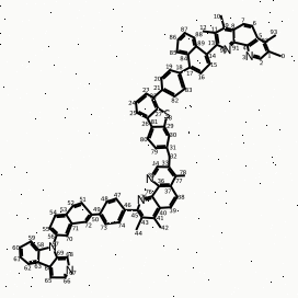 Cc1cnc2c(ccc3c(C)c(C)c(-c4ccc(-c5ccc(-c6cccc7c6sc6cc(Cc8cnc9c(ccc%10c(C)c(C)c(-c%11ccc(-c%12ccc%13ccc(-n%14c%15ccccc%15c%15ccncc%15%14)cc%13c%12)cc%11)nc%109)c8C)ccc67)cc5)c5ccccc45)nc32)c1C